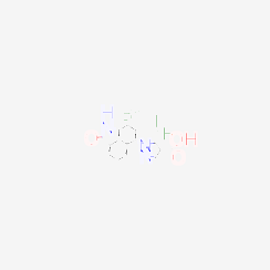 O=C(O)c1cnn(-c2cc(Br)c3c4c(cccc24)C(=O)N3)c1C(F)(F)F